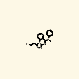 CCC=Cc1nnc2nc(N(C)c3ccccc3)c3ccccc3n12